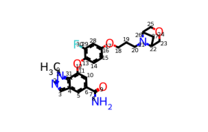 Cn1ncc2cc(C(N)=O)cc(Oc3ccc(OCCCN4C5COCC4C5)cc3F)c21